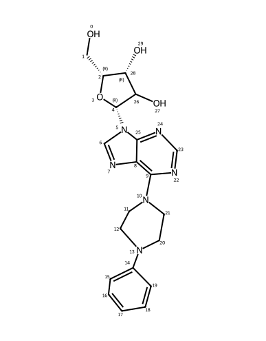 OC[C@H]1O[C@@H](n2cnc3c(N4CCN(c5ccccc5)CC4)ncnc32)C(O)[C@H]1O